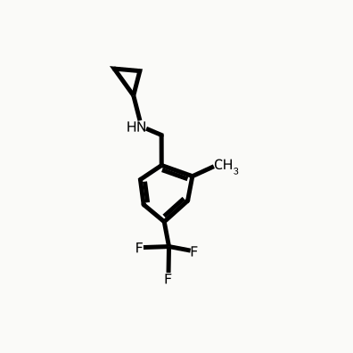 Cc1cc(C(F)(F)F)ccc1CNC1CC1